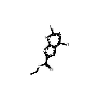 CCOC(=O)c1cc2c(Cl)nc(Cl)nc2s1